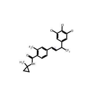 CC1(NC(=O)c2ccc(/C=C/C(c3cc(Cl)c(Cl)c(Cl)c3)C(F)(F)F)cc2C(F)(F)F)CC1